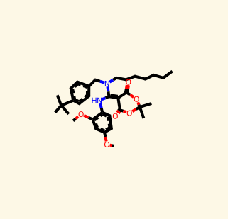 CCCCCCCN(Cc1ccc(C(C)(C)C)cc1)C(Nc1ccc(OC)cc1OC)=C1C(=O)OC(C)(C)OC1=O